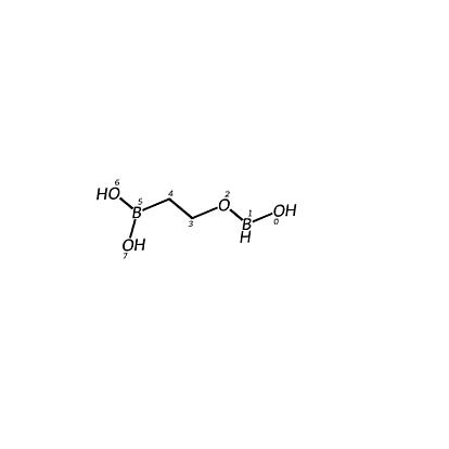 OBOCCB(O)O